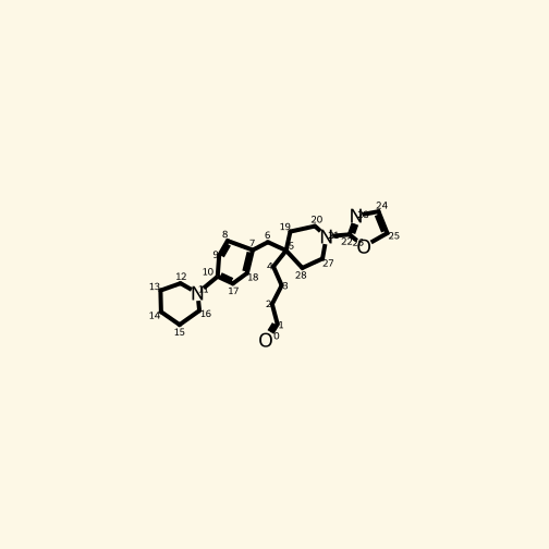 O=CCCCC1(Cc2ccc(N3CCCCC3)cc2)CCN(c2ncco2)CC1